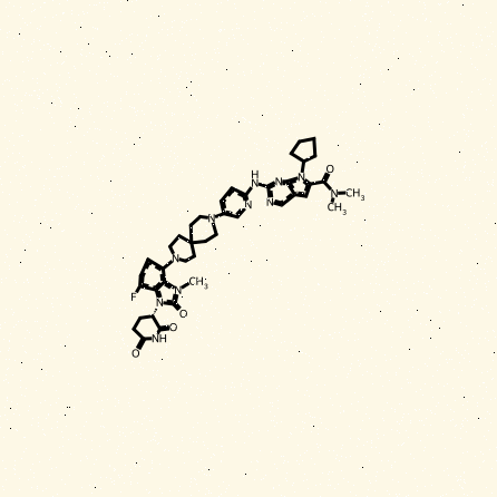 CN(C)C(=O)c1cc2cnc(Nc3ccc(N4CCC5(CC4)CCN(c4ccc(F)c6c4n(C)c(=O)n6[C@H]4CCC(=O)NC4=O)CC5)cn3)nc2n1C1CCCC1